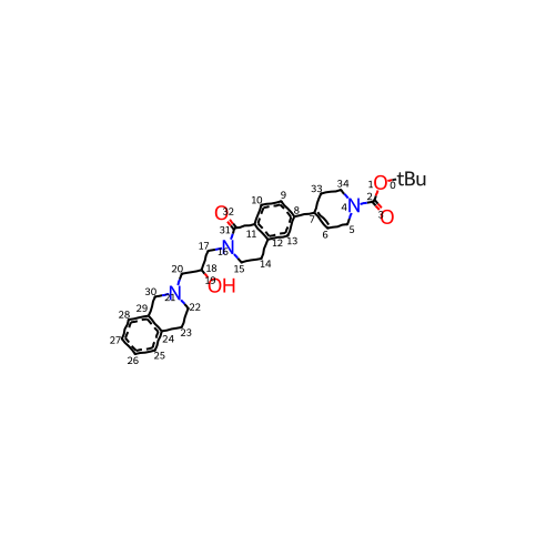 CC(C)(C)OC(=O)N1CC=C(c2ccc3c(c2)CCN(CC(O)CN2CCc4ccccc4C2)C3=O)CC1